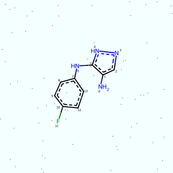 Nc1cn[nH]c1Nc1ccc(F)cc1